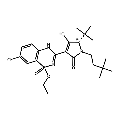 CCOP1(=O)N=C(C2=C(O)[C@H](C(C)(C)C)N(CCC(C)(C)C)C2=O)Nc2ccc(Cl)cc21